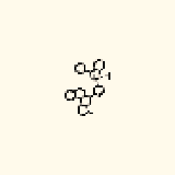 CC1CC=CC2=C1C=C(c1cccc(C3=NC(c4ccccc4)=C4C=CC=CC4N3)c1)C1C=Cc3ccccc3C21